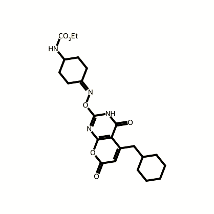 CCOC(=O)NC1CCC(=NOc2nc3oc(=O)cc(CC4CCCCC4)c3c(=O)[nH]2)CC1